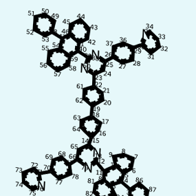 c1ccc(-c2c3ccccc3c(-c3nc(-c4ccc(-c5ccc(-c6cc(-c7ccc(-c8ccccn8)cc7)nc(-c7c8ccccc8c(-c8ccccc8)c8ccccc78)n6)cc5)cc4)cc(-c4ccc(-c5ccccn5)cc4)n3)c3ccccc23)cc1